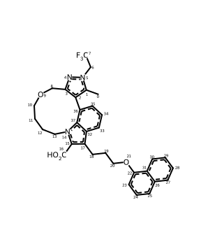 Cc1c2c(nn1CC(F)(F)F)COCCCCn1c(C(=O)O)c(CCCOc3cccc4ccccc34)c3cccc-2c31